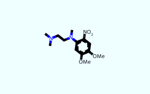 COc1cc(N(C)CCN(C)C)c([N+](=O)[O-])cc1OC